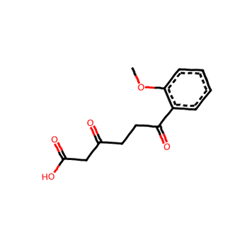 COc1ccccc1C(=O)CCC(=O)CC(=O)O